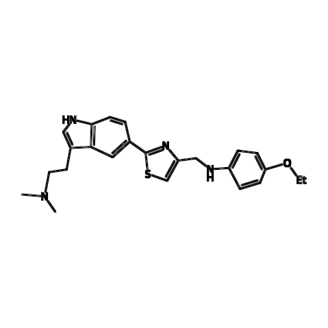 CCOc1ccc(NCc2csc(-c3ccc4[nH]cc(CCN(C)C)c4c3)n2)cc1